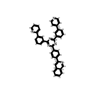 c1ccc(-c2cccc(-c3nc(-c4ccc(-c5cc6ccccc6cn5)cc4)nc(-c4cccc(-c5ccncc5)c4)n3)c2)nc1